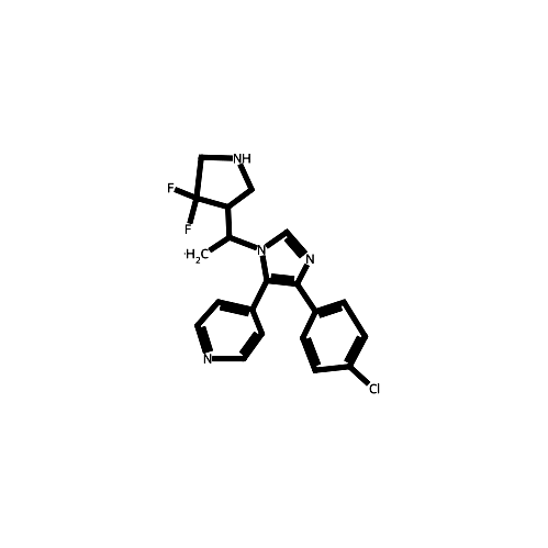 [CH2]C(C1CNCC1(F)F)n1cnc(-c2ccc(Cl)cc2)c1-c1ccncc1